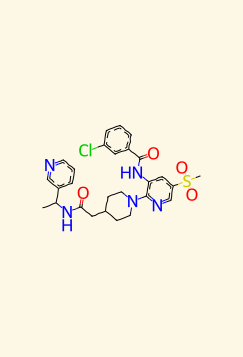 CC(NC(=O)CC1CCN(c2ncc(S(C)(=O)=O)cc2NC(=O)c2cccc(Cl)c2)CC1)c1cccnc1